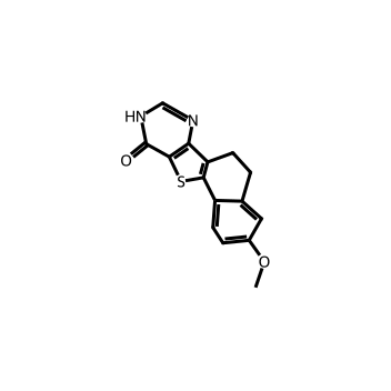 COc1ccc2c(c1)CCc1c-2sc2c(=O)[nH]cnc12